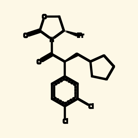 CC(C)[C@H]1COC(=O)N1C(=O)[C@@H](CC1CCCC1)c1ccc(Cl)c(Cl)c1